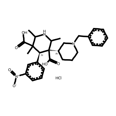 CC1NC(C)C(C(=O)O)([C@H]2CCCN(Cc3ccccc3)C2)[C@@H](c2cccc([N+](=O)[O-])c2)C1(C)C(=O)O.Cl